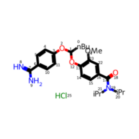 CCCCC(Oc1ccc(C(=N)N)cc1)Oc1ccc(C(=O)N(C(C)C)C(C)C)cc1OC.Cl